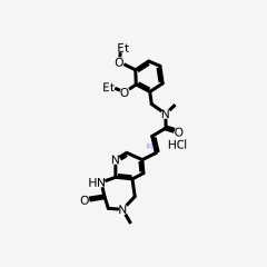 CCOc1cccc(CN(C)C(=O)/C=C/c2cnc3c(c2)CN(C)CC(=O)N3)c1OCC.Cl